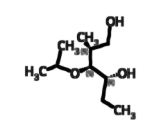 CC[C@@H](O)[C@@H](OC(C)C)[C@@H](C)CO